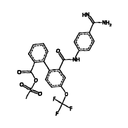 CS(=O)(=O)OC(=O)c1ccccc1-c1ccc(OC(F)(F)F)cc1C(=O)Nc1ccc(C(=N)N)cc1